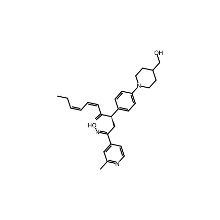 C=C(/C=C\C=C/CC)[C@H](C/C(=N\O)c1ccnc(C)c1)c1ccc(N2CCC(CO)CC2)cc1